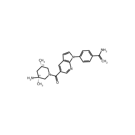 C=C(N)c1ccc(-n2ccc3cc(C(=O)N4C[C@@H](C)C[C@](C)(N)C4)cnc32)cc1